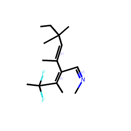 CCC(C)(C)/C=C(C)/C(/C=N\C)=C(/C)C(C)(F)F